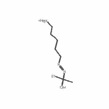 CCCCCCCCCCCCN=NC(C)(O)CC